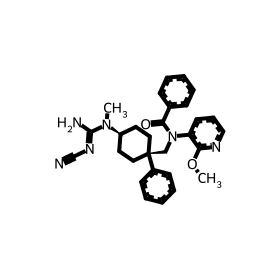 COc1ncccc1N(C[C@]1(c2ccccc2)CC[C@H](N(C)C(N)=NC#N)CC1)C(=O)c1ccccc1